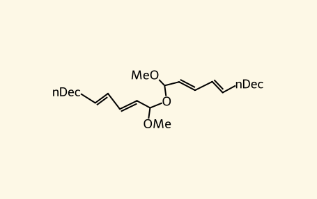 CCCCCCCCCC/C=C/C=C/C(OC)OC(/C=C/C=C/CCCCCCCCCC)OC